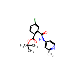 Cc1cc(NC(=O)c2cc(Br)ccc2C(=O)OC(C)(C)C)ccn1